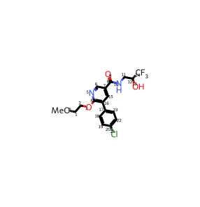 COCCOc1ncc(C(=O)NCC(O)C(F)(F)F)cc1-c1ccc(Cl)cc1